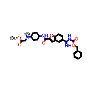 CCCCN(CC(=O)OC(C)(C)C)C1CCC(NC(=O)c2cc3cc(C(=N)NC(=O)OCc4ccccc4)ccc3o2)CC1